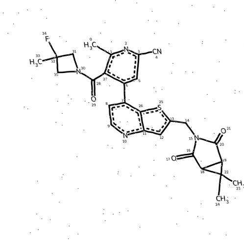 Cc1nc(C#N)cc(-c2ccnc3cc(CN4C(=O)C5C(C4=O)C5(C)C)sc23)c1C(=O)N1CC(C)(F)C1